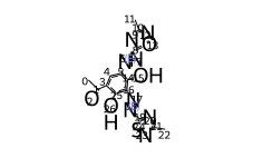 CC(=O)c1cc(/N=N/c2nc(C)no2)c(O)c(/N=N/c2nc(C)ns2)c1O